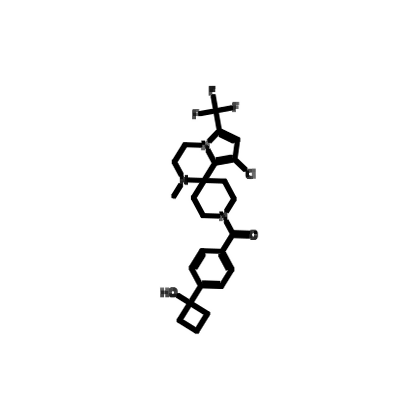 CN1CCn2c(C(F)(F)F)cc(Cl)c2C12CCN(C(=O)c1ccc(C3(O)CCC3)cc1)CC2